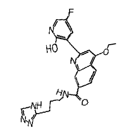 CCOc1cc(-c2cc(F)cnc2O)nc2cc(C(=O)NCCCc3nnc[nH]3)ccc12